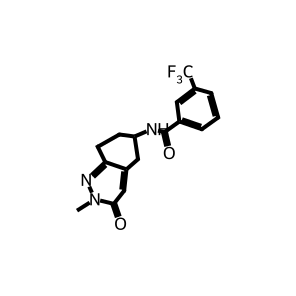 Cn1nc2c(cc1=O)CC(NC(=O)c1cccc(C(F)(F)F)c1)CC2